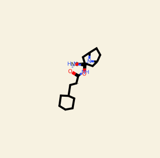 N#CC1(NC(=O)[CH]CC2CCCCC2)CC2CCC(C1)N2C(N)=O